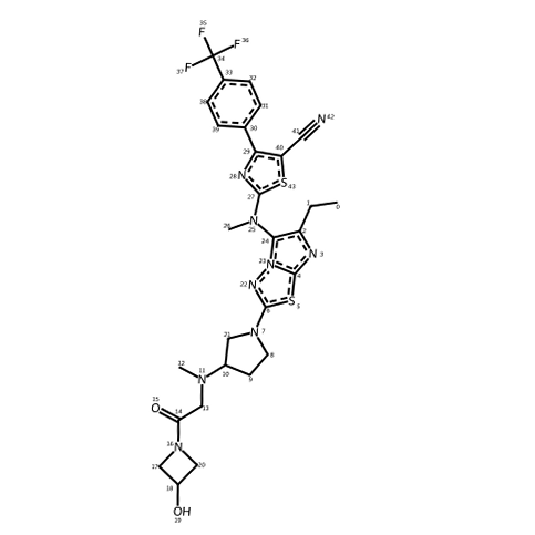 CCc1nc2sc(N3CCC(N(C)CC(=O)N4CC(O)C4)C3)nn2c1N(C)c1nc(-c2ccc(C(F)(F)F)cc2)c(C#N)s1